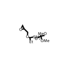 CCC(OCC1CO1)[SiH2]OC(C)(OC)OC